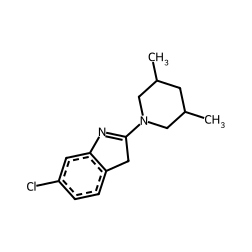 CC1CC(C)CN(C2=Nc3cc(Cl)ccc3C2)C1